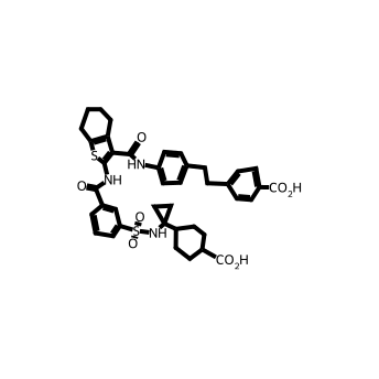 O=C(O)c1ccc(CCc2ccc(NC(=O)c3c(NC(=O)c4cccc(S(=O)(=O)NC5(C6CCC(C(=O)O)CC6)CC5)c4)sc4c3CCCC4)cc2)cc1